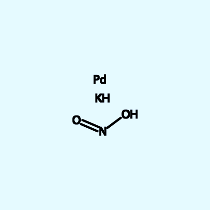 O=NO.[KH].[Pd]